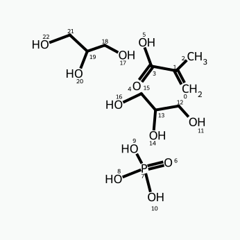 C=C(C)C(=O)O.O=P(O)(O)O.OCC(O)CO.OCC(O)CO